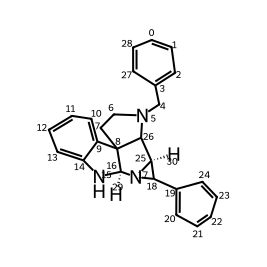 c1ccc(CN2CCC34c5ccccc5N[C@@H]3N3C(c5ccccc5)[C@@H]3C24)cc1